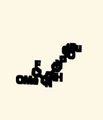 COc1ccc(F)cc1-c1ccnc2[nH]c(C3=CCN(C4CC(C(=O)OC(C)(C)C)C4)CC3)cc12